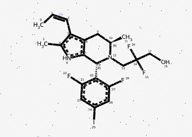 C/C=C\c1c(C)[nH]c2c1C[C@@H](C)N(CC(F)(F)CO)[C@@H]2c1c(F)cc(I)cc1F